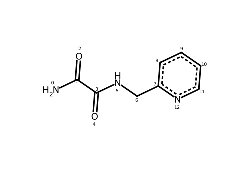 NC(=O)C(=O)NCc1ccccn1